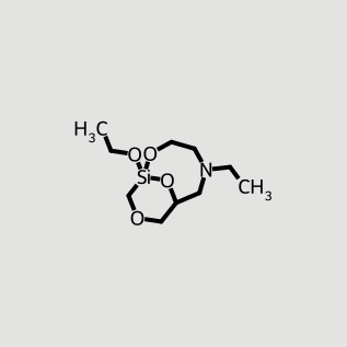 CCO[Si]12COCC(CN(CC)CCO1)O2